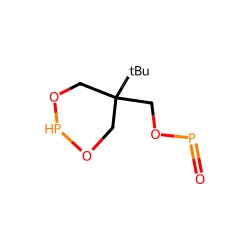 CC(C)(C)C1(COP=O)COPOC1